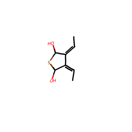 CC=C1C(=CC)C(O)SC1O